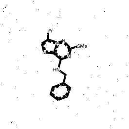 CSc1nc(NCc2ccccc2)c2ncc(C(C)C)n2n1